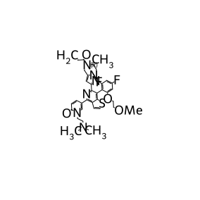 C=CC(=O)N1Cc2cc(-c3nc(-c4ccc(=O)n(CCN(C)C)c4)c4ccsc4c3-c3c(F)cc(F)cc3OCCOC)nn2C[C@H]1C